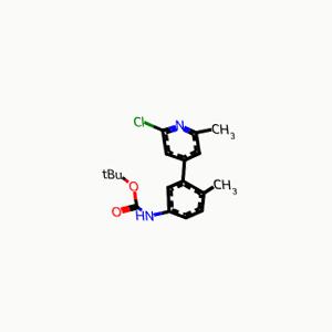 Cc1cc(-c2cc(NC(=O)OC(C)(C)C)ccc2C)cc(Cl)n1